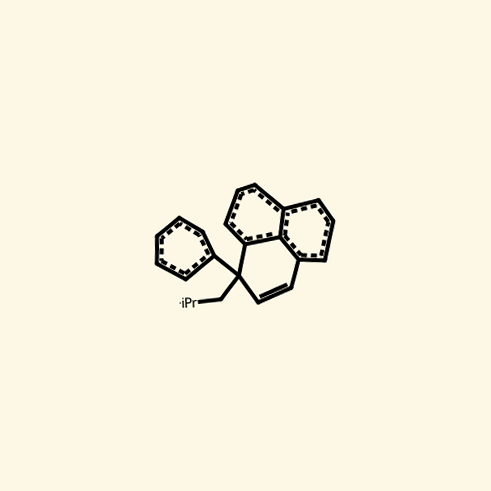 C[C](C)CC1(c2ccccc2)C=Cc2cccc3cccc1c23